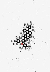 Bc1c(B)c(B)c(-c2c3ccccc3c(-c3c(B)c(B)c(-c4c(B)c(-c5c(B)c(B)c(B)c(B)c5B)c5oc6c(B)c(B)c(B)c(B)c6c5c4B)c4c(B)c(B)c(B)c(B)c34)c3ccccc23)c(B)c1B